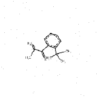 C=C(C)C(=O)c1ccccc1C(C)(C)C